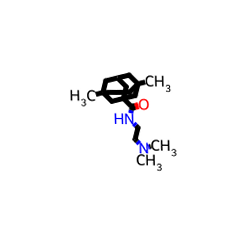 CN(C)CCNC(=O)C12CC3CC(C)(CC(C)(C3)C1)C2